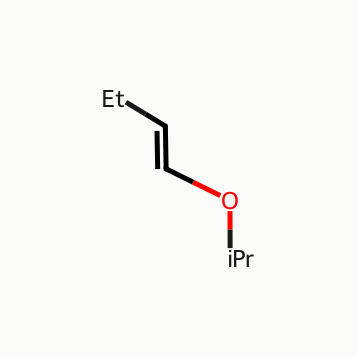 CCC=COC(C)C